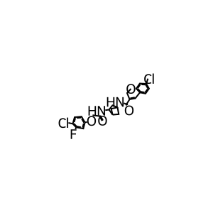 O=C(COc1ccc(Cl)c(F)c1)NC1CC2(NC(=O)C3=Cc4ccc(Cl)cc4OC3)CC1C2